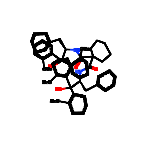 COc1ccccc1C(O)(c1ccccc1OC)[C@@H](Cc1ccccc1)NC(=O)C1(C(=O)N[C@H](Cc2ccccc2)C(O)(c2ccccc2OC)c2ccccc2OC)CCCCC1